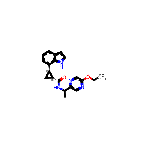 CC(NC(=O)[C@@H]1C[C@H]1c1cccc2cc[nH]c12)c1cnc(OCC(F)(F)F)cn1